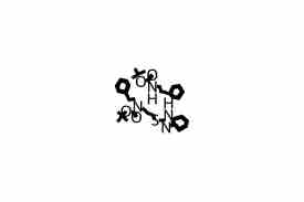 CC(C)(C)OC(=O)N(CCCSc1nc2ccccc2[nH]1)CCc1ccccc1.CC(C)(C)OC(=O)NCCc1ccccc1